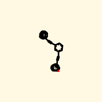 C(#C[C]12[CH]3[CH]4[CH]5[CH]1[Fe]45321678[CH]2[CH]1[CH]6[CH]7[CH]28)c1cccc(C#C[C]23[CH]4[CH]5[CH]6[CH]2[Fe]56432789[CH]3[CH]2[CH]7[CH]8[CH]39)c1